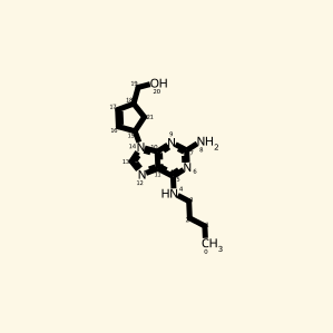 CCCCNc1nc(N)nc2c1ncn2C1C=CC(CO)C1